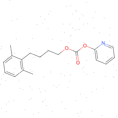 Cc1cccc(C)c1CCCCOC(=O)Oc1ccccn1